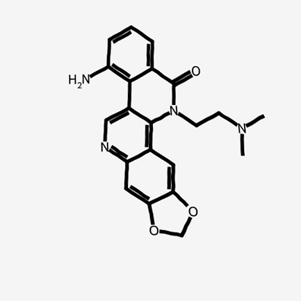 CN(C)CCn1c(=O)c2cccc(N)c2c2cnc3cc4c(cc3c21)OCO4